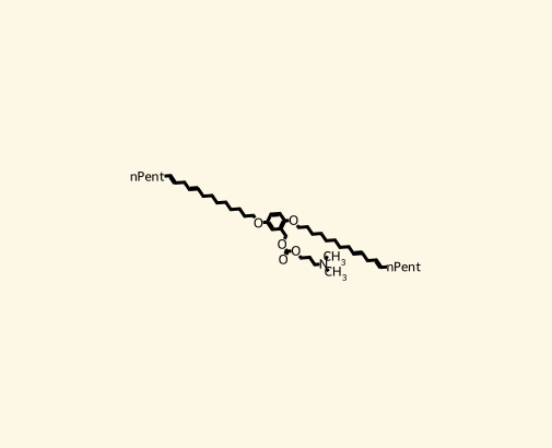 CCCCCC=CCC=CCCCCCCCCOc1ccc(OCCCCCCCCC=CCC=CCCCCC)c(COC(=O)OCCCN(C)C)c1